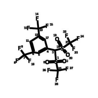 O=S(=O)(C(c1cc(C(F)(F)F)cc(C(F)(F)F)c1)S(=O)(=O)C(F)(F)F)C(F)(F)F